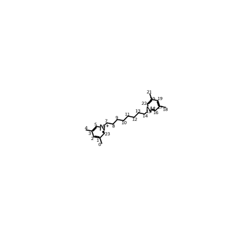 Cc1cc(C)c[n+](CCCCCCCC[n+]2cc(C)cc(C)c2)c1